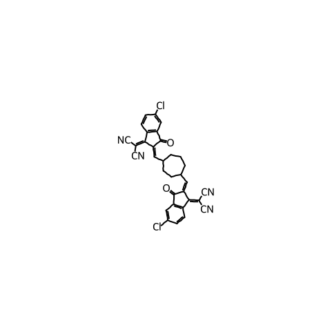 N#CC(C#N)=C1/C(=C/C2CCCC(/C=C3\C(=O)c4cc(Cl)ccc4C3=C(C#N)C#N)CC2)C(=O)c2cc(Cl)ccc21